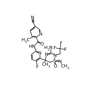 CN=S1(=O)CC(C)(c2nc(NC(=O)c3ncc(C#N)cc3C)ccc2F)N=C(N)N1CC(F)(F)F